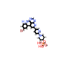 Nc1ncnc2nc(-c3ccc(N4CCC(OP(=O)(O)O)CC4)nc3)cc(-c3cccc(Br)c3)c12